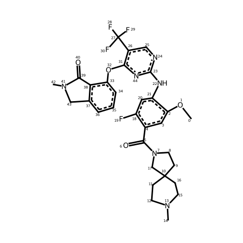 COc1cc(C(=O)N2CCC3(CCN(C)CC3)C2)c(F)cc1Nc1ncc(C(F)(F)F)c(Oc2cccc3c2C(=O)N(C)C3)n1